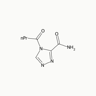 CCCC(=O)n1cnnc1C(N)=O